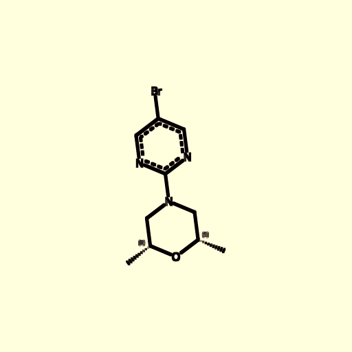 C[C@@H]1CN(c2ncc(Br)cn2)C[C@H](C)O1